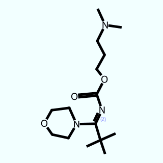 CN(C)CCCOC(=O)/N=C(\N1CCOCC1)C(C)(C)C